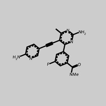 CNC(=O)c1cc(F)cc(-c2nc(N)nc(C)c2C#Cc2ccc(N)nc2)c1